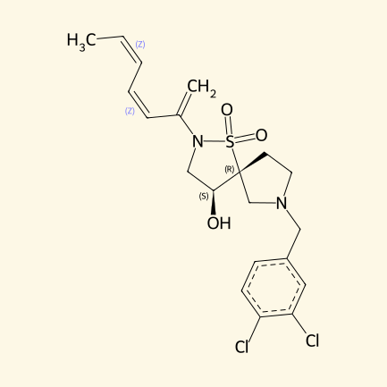 C=C(/C=C\C=C/C)N1C[C@H](O)[C@]2(CCN(Cc3ccc(Cl)c(Cl)c3)C2)S1(=O)=O